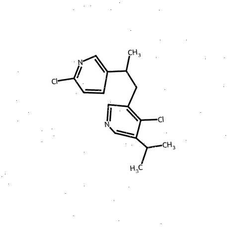 CC(C)c1cncc(CC(C)c2ccc(Cl)nc2)c1Cl